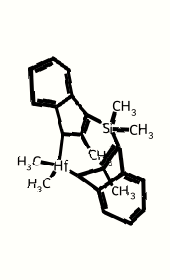 CC1=C2c3ccccc3[CH]1[Hf]([CH3])([CH3])[CH]1C(C)=C(c3ccccc31)[Si]2(C)C